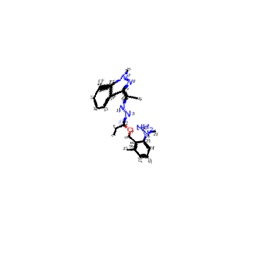 CC/C(=N\N=C(C)c1nn(C)c2ccccc12)OCc1c(C)cccc1N(C)N